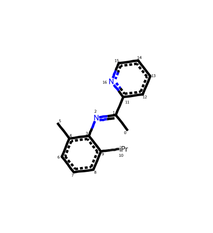 CC(=Nc1c(C)cccc1C(C)C)c1ccccn1